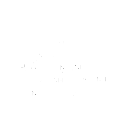 NC(=O)NN(NC(N)=O)C(N)=O.[LiH]